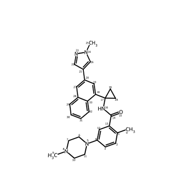 Cc1ccc(N2CCN(C)CC2)cc1C(=O)NC1(c2cc(-c3cnn(C)c3)cc3ccccc23)CC1